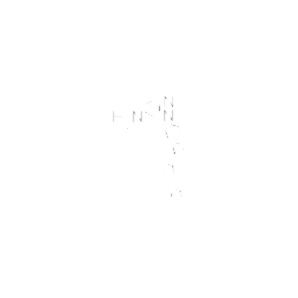 Nc1ccc2ncn(-c3ccc(OCCOC4CCOCC4)cc3)c2c1